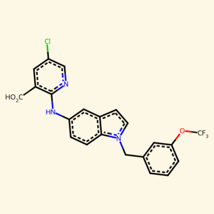 O=C(O)c1cc(Cl)cnc1Nc1ccc2c(ccn2Cc2cccc(OC(F)(F)F)c2)c1